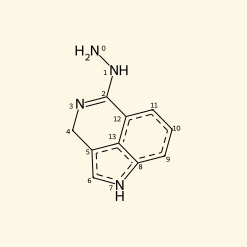 NNC1=NCc2c[nH]c3cccc1c23